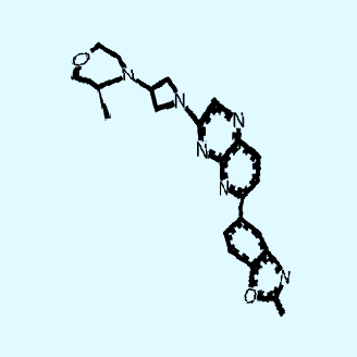 Cc1nc2cc(-c3ccc4ncc(N5CC(N6CCOC[C@@H]6C)C5)nc4n3)ccc2o1